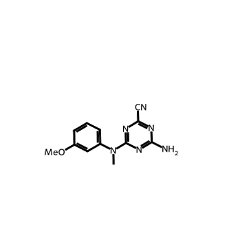 COc1cccc(N(C)c2nc(N)nc(C#N)n2)c1